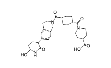 O=C(O)C1CCN(C(=O)[C@H]2CC[C@H](C(=O)N3CCc4cc(C5CCC(O)NC5=O)ccc4C3)CC2)CC1